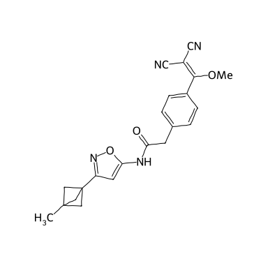 COC(=C(C#N)C#N)c1ccc(CC(=O)Nc2cc(C34CC(C)(C3)C4)no2)cc1